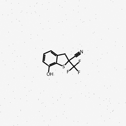 N#CC1(C(F)(F)F)Cc2cccc(O)c2S1